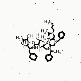 COCCN(CC(=O)N(CC(=O)N(CC(=O)NC(C(=O)NC(Cc1ccccc1)C(=O)NC(C)C(N)=O)C(C)O)C(C)c1ccccc1)Cc1ccccc1)C(C)=O